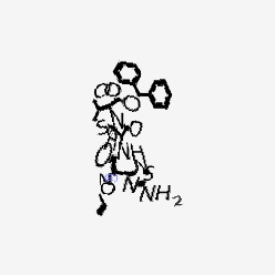 C=CCO/N=C(/C(=O)NC1C(=O)N2C(C(=O)OC(c3ccccc3)c3ccccc3)=C(CCl)CS[C@H]12)c1nsc(N)n1